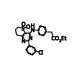 CCOC(=O)Cc1ccc(Nc2nc(-c3cccc(Cl)c3)nc3c2S(=O)(=O)CCC3)cc1